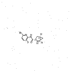 O=C(Nc1nc(Br)ccc1F)[C@@H]1C[C@H]2C[C@H]2N1